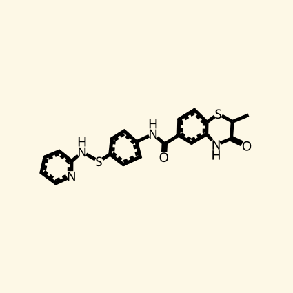 CC1Sc2ccc(C(=O)Nc3ccc(SNc4ccccn4)cc3)cc2NC1=O